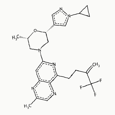 C=C(CCc1nc(N2C[C@@H](c3cnn(C4CC4)c3)O[C@@H](C)C2)cc2nc(C)cnc12)C(F)(F)F